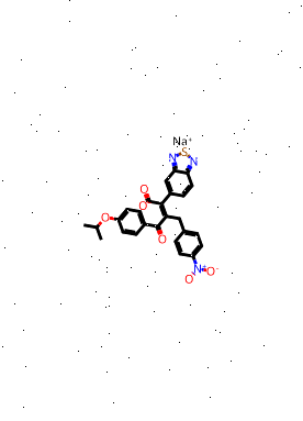 CC(C)Oc1ccc(C(=O)C(Cc2ccc([N+](=O)[O-])cc2)=C(C(=O)[O-])c2ccc3nsnc3c2)cc1.[Na+]